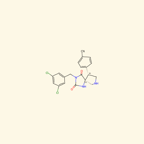 N#Cc1ccc([C@@H]2CNC[C@@]23NC(=O)N(Cc2cc(Cl)cc(Cl)c2)C3=O)cc1